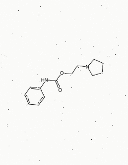 O=C(Nc1cc[c]cc1)OCCN1CCCC1